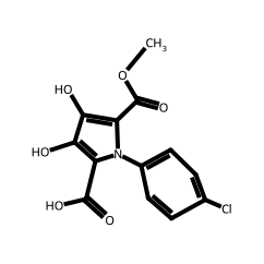 COC(=O)c1c(O)c(O)c(C(=O)O)n1-c1ccc(Cl)cc1